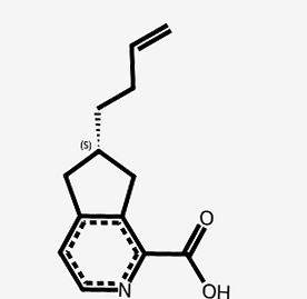 C=CCC[C@H]1Cc2ccnc(C(=O)O)c2C1